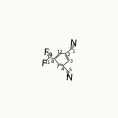 N#Cc1cc(C#N)cc(C(F)F)c1